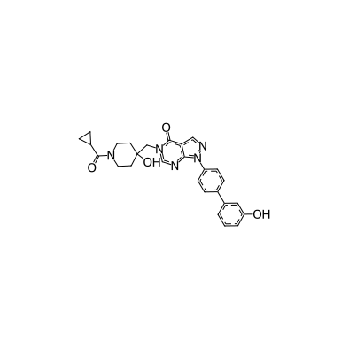 O=C(C1CC1)N1CCC(O)(Cn2cnc3c(cnn3-c3ccc(-c4cccc(O)c4)cc3)c2=O)CC1